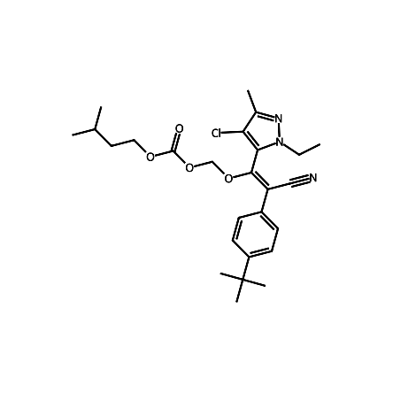 CCn1nc(C)c(Cl)c1/C(OCOC(=O)OCCC(C)C)=C(\C#N)c1ccc(C(C)(C)C)cc1